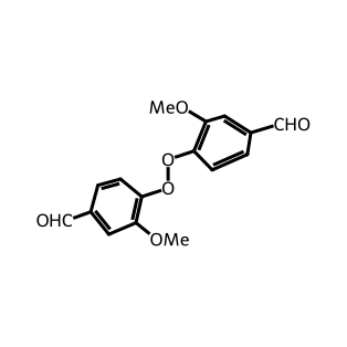 COc1cc(C=O)ccc1OOc1ccc(C=O)cc1OC